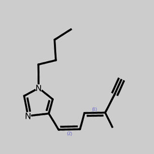 C#C/C(C)=C/C=C\c1cn(CCCC)cn1